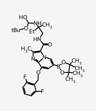 CCC(C)(CNC(=O)c1c(C)nc2c(OCc3c(F)cccc3F)cc(B3OC(C)(C)C(C)(C)O3)cn12)NC(O)OC(C)(C)C